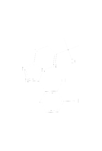 CCC(C)(C)C1=Nn2c(nnc2-c2cccc(Cl)c2Cl)SC1